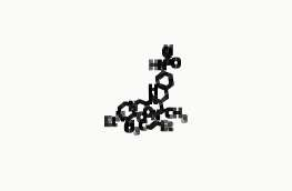 C/C=C(CC)\N=C(/C)[C@H](Cc1ccc(N[SH](=O)=O)cc1)NC(=O)CN1CCN(CC)C(=O)C1=O